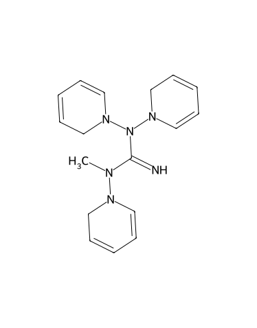 CN(C(=N)N(N1C=CC=CC1)N1C=CC=CC1)N1C=CC=CC1